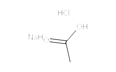 CC(=O)O.Cl.[NaH]